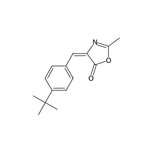 CC1=NC(=Cc2ccc(C(C)(C)C)cc2)C(=O)O1